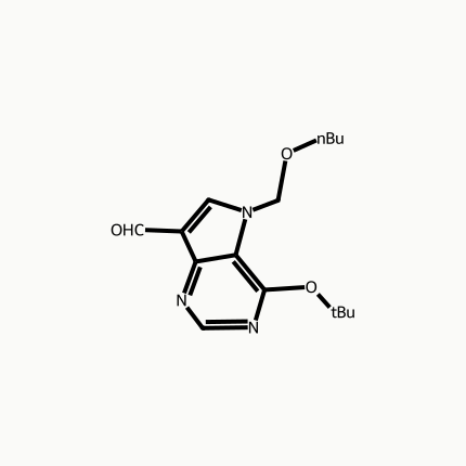 CCCCOCn1cc(C=O)c2ncnc(OC(C)(C)C)c21